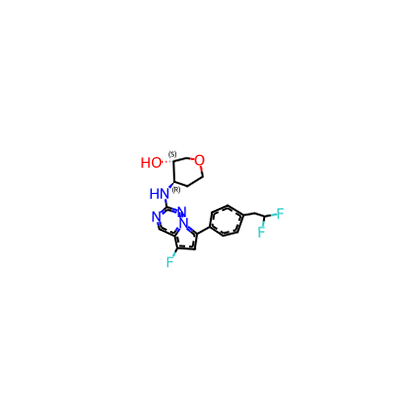 O[C@@H]1COCC[C@H]1Nc1ncc2c(F)cc(-c3ccc(CC(F)F)cc3)n2n1